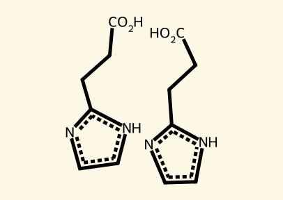 O=C(O)CCc1ncc[nH]1.O=C(O)CCc1ncc[nH]1